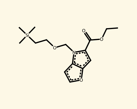 CCOC(=O)c1cc2occc2n1COCC[Si](C)(C)C